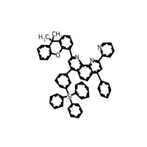 CC1(C)c2ccccc2Oc2c(-c3cc(-c4cccc([Si](c5ccccc5)(c5ccccc5)c5ccccc5)c4)c4ccc5c(-c6ccccc6)cc(-c6ccccn6)nc5c4n3)cccc21